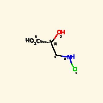 O=C(O)[C@H](O)CNCl